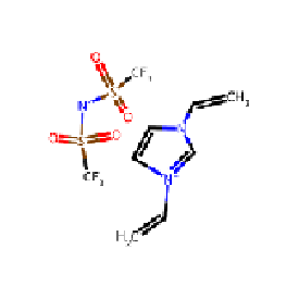 C=Cn1cc[n+](C=C)c1.O=S(=O)([N-]S(=O)(=O)C(F)(F)F)C(F)(F)F